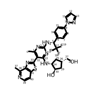 Cc1nc(N[C@H](c2ccc(-n3cccn3)cc2)C(F)(F)F)nc(N[C@@H]2C[C@H](CO)C[C@H]2O)c1-c1nc2c(C)nccc2s1